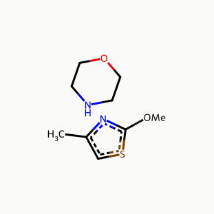 C1COCCN1.COc1nc(C)cs1